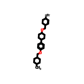 CCCC1C=CC(COC2CCC(c3ccc(OCC4CCC(C)CC4)cc3)CC2)CC1